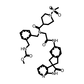 COC(=O)NCc1ccccc1CN(CC(=O)Nc1ccc2c(c1)CC1(C2)C(=O)Nc2ncccc21)C(=O)C1CCN(S(C)(=O)=O)CC1